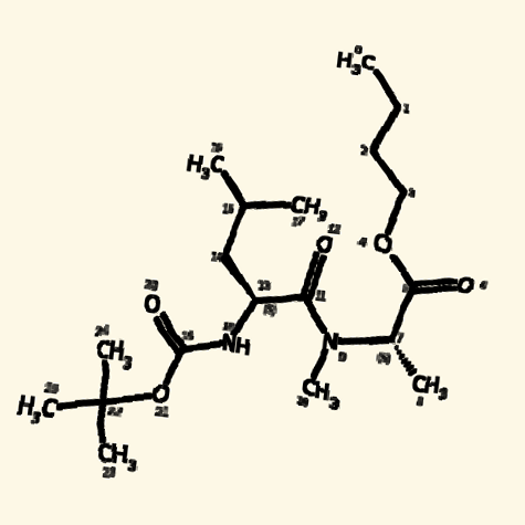 CCCCOC(=O)[C@H](C)N(C)C(=O)[C@H](CC(C)C)NC(=O)OC(C)(C)C